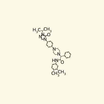 Cc1ccc(NC(=O)C(c2ccccc2)N2CCN(c3ccc(-n4cnn(C(C)C)c4=O)cc3)CC2)cc1C